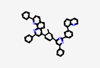 CC1C=C(c2cc(-c3ccccc3)nc(-c3cccc(-c4cccc5cccnc45)c3)n2)C=CC1c1cc(-c2ccccc2)nc2c1ccc1ccc(-c3ccccc3)nc12